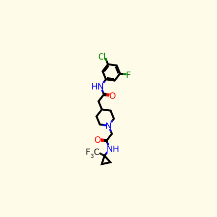 O=C(CC1CCN(CC(=O)NC2(C(F)(F)F)CC2)CC1)Nc1cc(F)cc(Cl)c1